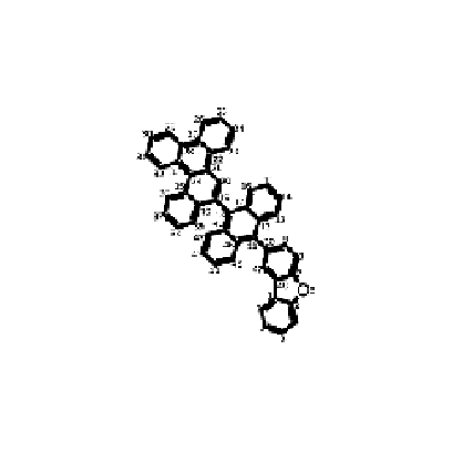 c1ccc2c(c1)oc1ccc(-c3c4ccccc4c(-c4cc5c6ccccc6c6ccccc6c5c5ccccc45)c4ccccc34)cc12